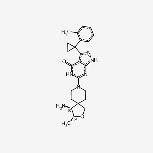 Cc1ccccc1C1(c2n[nH]c3nc(N4CCC5(CC4)CO[C@@H](C)[C@H]5N)[nH]c(=O)c23)CC1